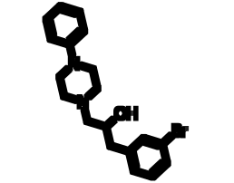 OC(Cc1cccc(Br)c1)CN1CCN(c2ccccc2)CC1